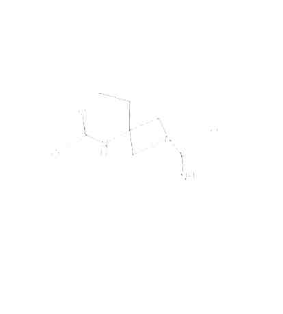 NC(=O)N1CC2(CCOC(=O)N2)C1